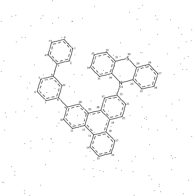 c1ccc(-c2cccc(-c3ccc4c5ccccc5c5ccc(N6c7ccccc7Sc7ccccc76)cc5c4c3)c2)cc1